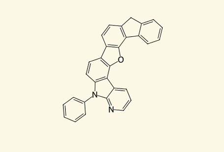 c1ccc(-n2c3ccc4c5ccc6c(c5oc4c3c3cccnc32)-c2ccccc2C6)cc1